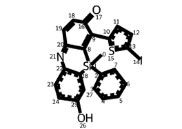 C[Si]1(c2ccccc2)C2=C(c3ccc(I)s3)C(=O)C=CC2=Nc2ccc(O)cc21